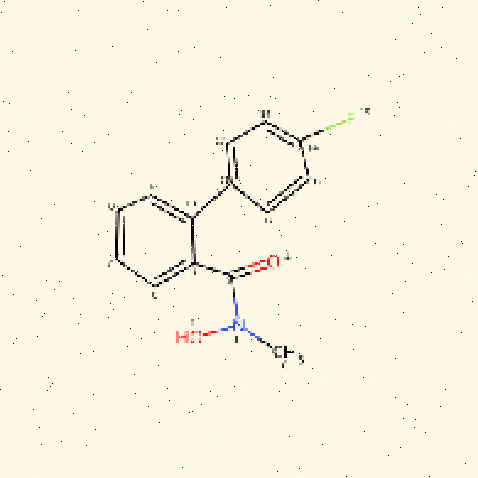 CN(O)C(=O)c1ccccc1-c1ccc(F)cc1